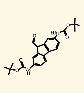 CC(C)(C)OC(=O)[AsH]c1ccc2c(c1)C(C=O)c1cc([AsH]C(=O)OC(C)(C)C)ccc1-2